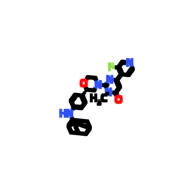 Cn1c(N2CCO[C@@H](c3ccc(NC4C5CC6CC(C5)CC4C6)cc3)C2)nc(-c2ccncc2F)cc1=O